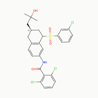 CC(C)(O)C[C@@H]1Cc2ccc(NC(=O)c3c(Cl)cccc3Cl)cc2C(S(=O)(=O)c2cccc(Cl)c2)C1